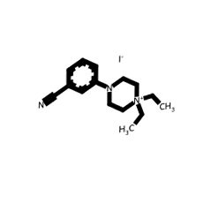 CC[N+]1(CC)CCN(c2cccc(C#N)c2)CC1.[I-]